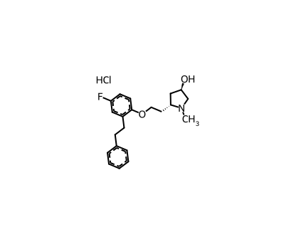 CN1C[C@H](O)C[C@H]1CCOc1ccc(F)cc1CCc1ccccc1.Cl